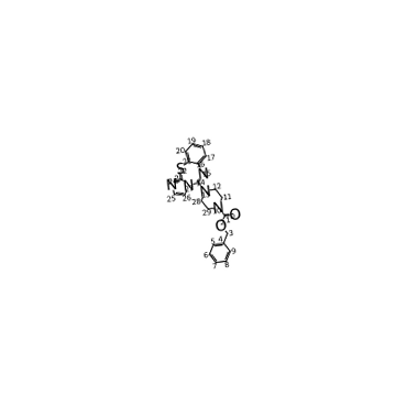 O=C(OCc1ccccc1)N1CCN(C2=Nc3ccccc3Sc3nccn32)CC1